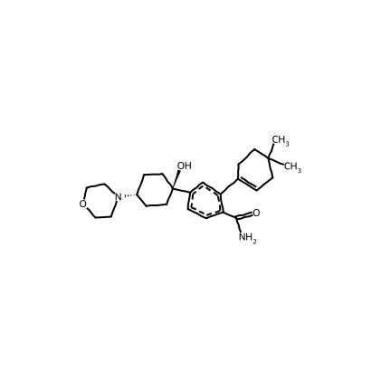 CC1(C)CC=C(c2cc([C@]3(O)CC[C@H](N4CCOCC4)CC3)ccc2C(N)=O)CC1